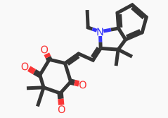 CCN1/C(=C\C=C2C(=O)C(=O)C(C)(C)C(=O)C2=O)C(C)(C)c2ccccc21